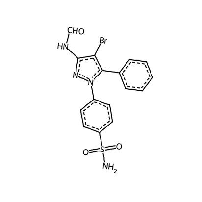 NS(=O)(=O)c1ccc(-n2nc(NC=O)c(Br)c2-c2ccccc2)cc1